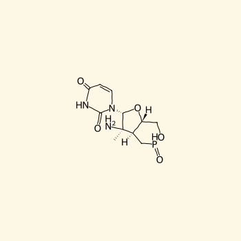 C[C@@]1(N)[C@@H]2C[PH](=O)OC[C@H]2O[C@H]1n1ccc(=O)[nH]c1=O